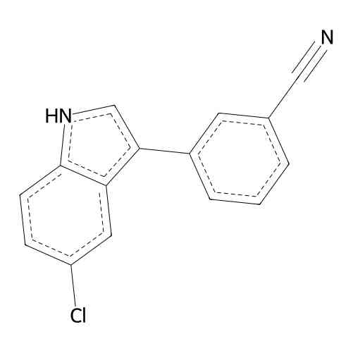 N#Cc1cccc(-c2c[nH]c3ccc(Cl)cc23)c1